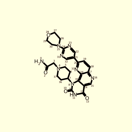 NC(=O)CN1CCC(n2c(=O)[nH]c(=O)c3cnc4ccc(-c5cnc(N6CCOCC6)nc5)nc4c32)CC1